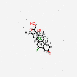 C=C1C[C@H]2[C@@H]3CC(F)C4=CC(=O)CC[C@]4(C)[C@@]3(Cl)C(Cl)C[C@]2(C)[C@@]1(O)C(=O)CO